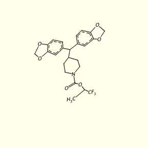 CC(OC(=O)N1CCC(C(c2ccc3c(c2)OCO3)c2ccc3c(c2)OCO3)CC1)C(F)(F)F